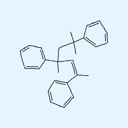 C/C(=C/C(C)(CC(C)(C)c1ccccc1)c1ccccc1)c1ccccc1